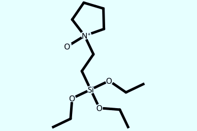 CCO[Si](CC[N+]1([O-])CCCC1)(OCC)OCC